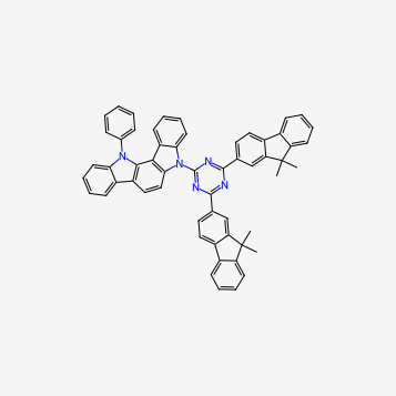 CC1(C)c2ccccc2-c2ccc(-c3nc(-c4ccc5c(c4)C(C)(C)c4ccccc4-5)nc(-n4c5ccccc5c5c4ccc4c6ccccc6n(-c6ccccc6)c45)n3)cc21